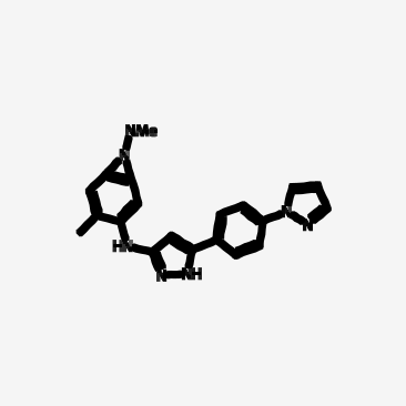 CNN1c2cc(C)c(Nc3cc(-c4ccc(-n5cccn5)cc4)[nH]n3)cc21